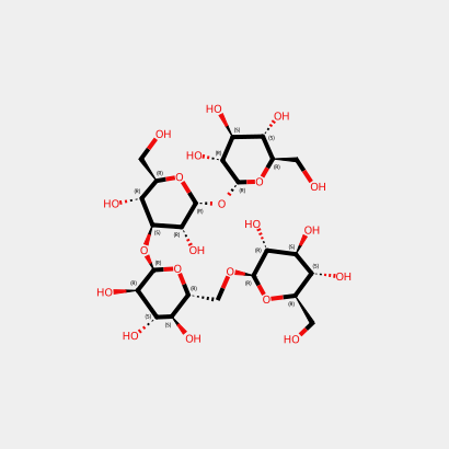 OC[C@H]1O[C@@H](OC[C@H]2O[C@H](O[C@@H]3[C@@H](O)[C@@H](O[C@H]4O[C@H](CO)[C@@H](O)[C@H](O)[C@H]4O)O[C@H](CO)[C@H]3O)[C@H](O)[C@@H](O)[C@@H]2O)[C@H](O)[C@@H](O)[C@@H]1O